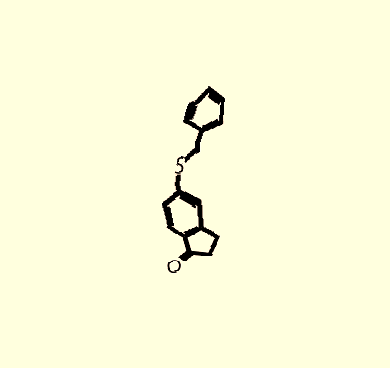 O=C1CCc2cc(SCc3ccccc3)ccc21